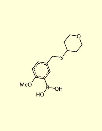 COc1ccc(CSC2CCOCC2)cc1B(O)O